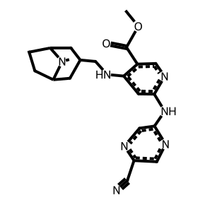 COC(=O)c1cnc(Nc2cnc(C#N)cn2)cc1NCC1CC2CCC(C1)N2C